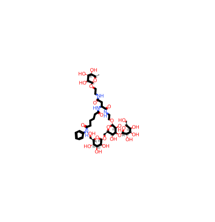 C[C@@H]1O[C@@H](OCCNC(=O)CC(NC(=O)CCCCC(=O)Nc2ccccc2)C(=O)NCCO[C@H]2O[C@H](CO[C@H]3O[C@H](CO)[C@@H](O)[C@H](O)[C@@H]3O)[C@@H](O)[C@H](O[C@H]3O[C@H](CO)[C@@H](O)[C@H](O)[C@@H]3O)[C@@H]2O)[C@@H](O)[C@H](O)[C@@H]1O